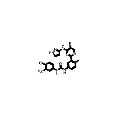 Cc1ccc(NC(=O)Nc2ccc(Cl)c(C(F)(F)F)c2)cc1-c1ncc(F)c(Nc2cc[nH]n2)n1